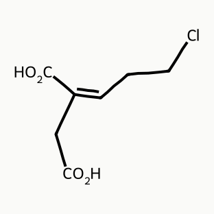 O=C(O)CC(=CCCCl)C(=O)O